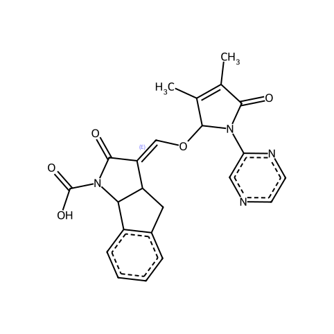 CC1=C(C)C(O/C=C2/C(=O)N(C(=O)O)C3c4ccccc4CC23)N(c2cnccn2)C1=O